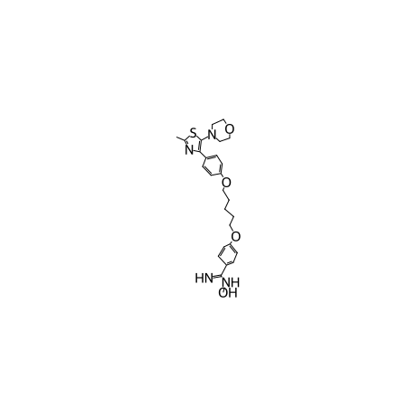 Cc1nc(-c2ccc(OCCCCCOc3ccc(C(=N)NO)cc3)cc2)c(N2CCOCC2)s1